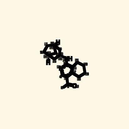 CC(=O)c1cnc(N[C@@H]2C[C@@H]3CC[C@@H](C3)C2)c2c1CCCC2